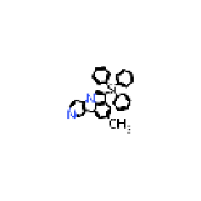 Cc1cc2c([Si](c3ccccc3)(c3ccccc3)c3ccccc3)cn3c4ccncc4c(c1)c23